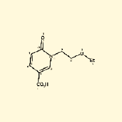 CCOCCn1cc(C(=O)O)ccc1=O